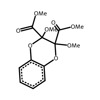 COC(=O)C1(OC)Oc2ccccc2OC1(OC)C(=O)OC